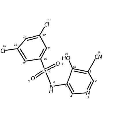 N#Cc1cncc(NS(=O)(=O)c2cc(Cl)cc(Cl)c2)c1O